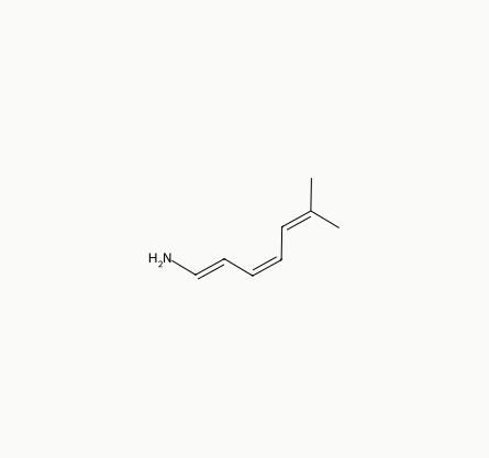 CC(C)=C/C=C\C=C\N